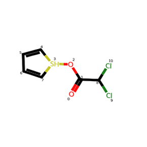 O=C(O[SH]1C=CC=C1)C(Cl)Cl